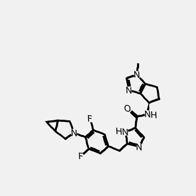 Cn1cnc2c1CC[C@H]2NC(=O)c1cnc(Cc2cc(F)c(N3CC4CC4C3)c(F)c2)[nH]1